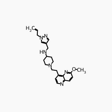 C=CCn1cc(CNC2CCN(CCc3ccnc4ccc(OC)nc34)CC2)cn1